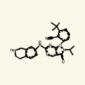 CC(C)n1c(=O)c2cnc(Nc3ccc4c(c3)CNCC4)nc2n1-c1cccc(C(C)(C)C)c1C#N